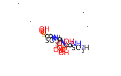 Cc1cc(N=Nc2c(SOOO)cc3cc(S(=O)(=O)O)c(N)cc3c2O)c(OCC(O)CO)cc1N=Nc1ccc2cc(SOOO)cc(S(=O)(=O)O)c2c1